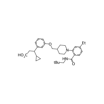 CCc1ccc(C(=O)NCC(C)(C)C)c(N2CCC(COc3cccc(C(CC(=O)O)C4CC4)c3)CC2)c1